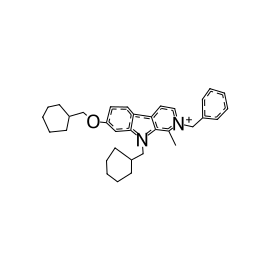 Cc1c2c(cc[n+]1Cc1ccccc1)c1ccc(OCC3CCCCC3)cc1n2CC1CCCCC1